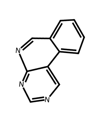 c1ccc2c(c1)cnc1ncncc12